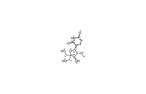 COC1[C@H](n2ccc(=O)[nH]c2=O)OC(CO)(CO)[C@@H]1O